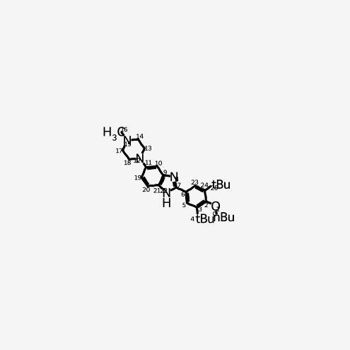 CCCCOc1c(C(C)(C)C)cc(-c2nc3cc(N4CCN(C)CC4)ccc3[nH]2)cc1C(C)(C)C